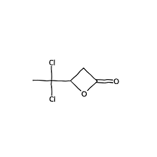 CC(Cl)(Cl)C1CC(=O)O1